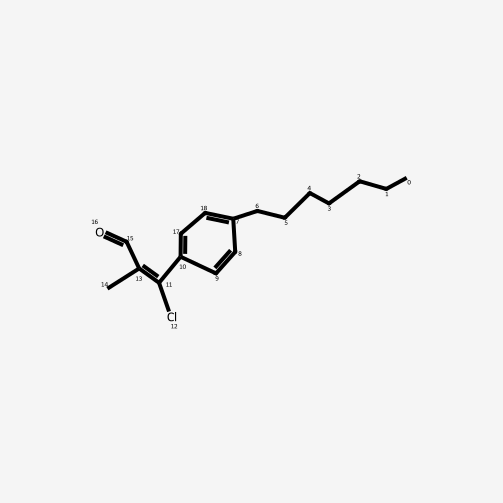 CCCCCCCc1ccc(C(Cl)=C(C)C=O)cc1